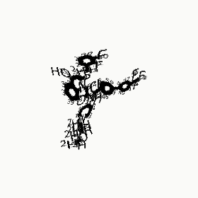 [2H]C([2H])([2H])OC([2H])([2H])C([2H])([2H])N1CCC(N(C(=O)CN2C(SC([2H])([2H])c3cccc(F)c3F)=CC(O)c3ccccc32)C([2H])(C)c2ccc(-c3ccc(C(F)(F)F)cc3)cc2)CC1